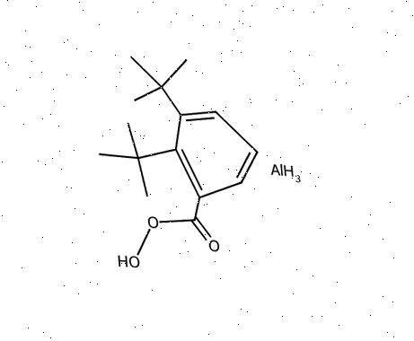 CC(C)(C)c1cccc(C(=O)OO)c1C(C)(C)C.[AlH3]